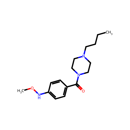 CCCCN1CCN(C(=O)c2ccc(NOC)cc2)CC1